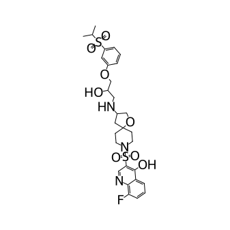 CC(C)S(=O)(=O)c1cccc(OCC(O)CNC2COC3(CCN(S(=O)(=O)c4cnc5c(F)cccc5c4O)CC3)C2)c1